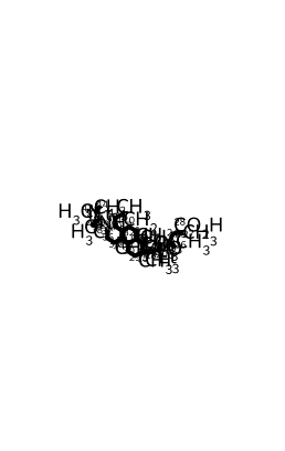 C=C(C)[C@H](CC)[C@@H]1C2CC[C@]3(C)C(C)(C)[C@](C)(C(C)(C)[C@H](CC)OC(=O)CC(C)(C)C(=O)O)CC[C@@]3(C)[C@]2(C)CCC1(C)NC(=O)N(C)C